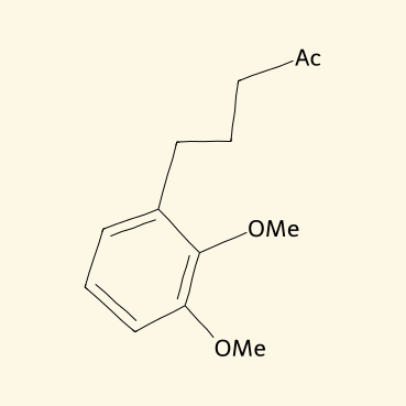 COc1cccc(CCCC(C)=O)c1OC